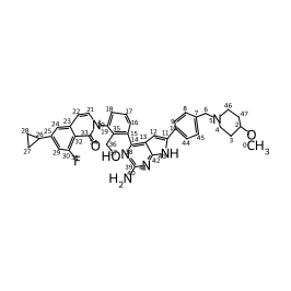 COC1CCN(Cc2ccc(-c3cc4c(-c5cccc(-n6ccc7cc(C8CC8)cc(F)c7c6=O)c5CO)nc(N)nc4[nH]3)cc2)CC1